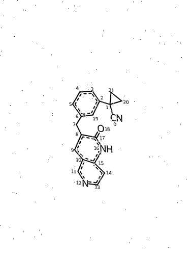 N#CC1(c2cccc(Cc3cc4cnccc4[nH]c3=O)c2)CC1